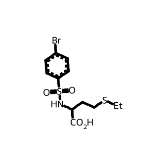 CCSCCC(NS(=O)(=O)c1ccc(Br)cc1)C(=O)O